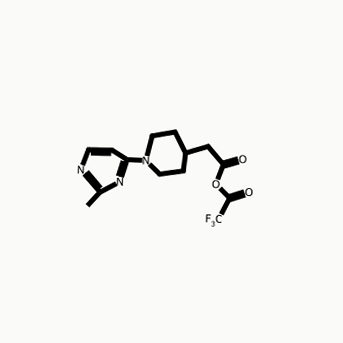 Cc1nccc(N2CCC(CC(=O)OC(=O)C(F)(F)F)CC2)n1